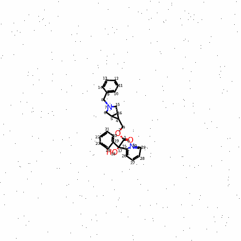 O=C(OCC1C2CN(Cc3ccccc3)CC12)C(O)(c1ccccc1)c1ccccn1